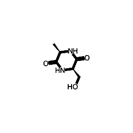 C[C@H]1NC(=O)[C@@H](CO)NC1=O